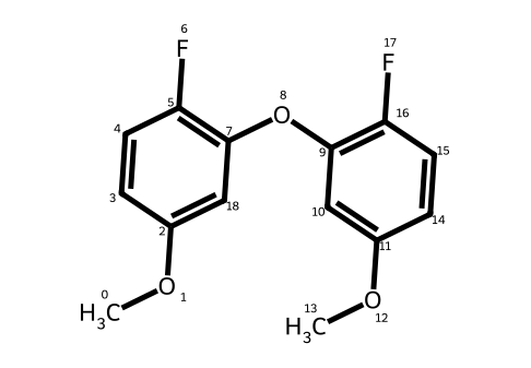 COc1ccc(F)c(Oc2cc(OC)ccc2F)c1